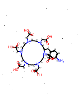 Nc1ccc(CC2CN(CC(=O)O)CCN(CC(=O)O)CCN(CC(=O)O)CCN(CC(=O)O)CCN(CC(=O)O)CCN2CC(=O)O)cc1